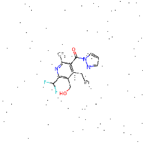 CC(C)Cc1c(CO)c(C(F)F)nc(C(F)(F)F)c1C(=O)n1cccn1